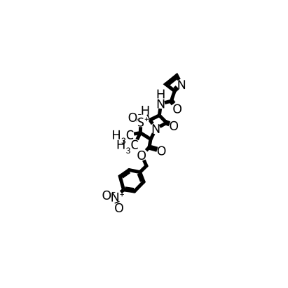 CC1(C)C(C(=O)OCc2ccc([N+](=O)[O-])cc2)N2C(=O)C(NC(=O)C3=NC=C3)[C@@H]2[S+]1[O-]